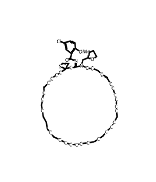 COc1ccc(Cl)cc1C(=O)N=C1CC2(CCCCCCCCCCCCCCCCCCCCCCCCCCCCCCCCCCCCCCN1CC1CCCO1)CCS2